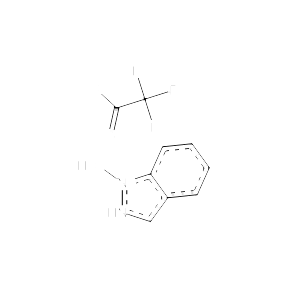 C[n+]1[nH]cc2ccccc21.O=C([O-])C(F)(F)F